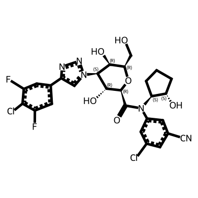 N#Cc1cc(Cl)cc(N(C(=O)[C@@H]2O[C@H](CO)[C@H](O)[C@H](n3cc(-c4cc(F)c(Cl)c(F)c4)nn3)[C@H]2O)[C@H]2CCC[C@@H]2O)c1